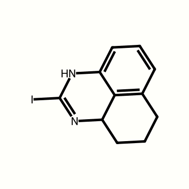 IC1=NC2CCCc3cccc(c32)N1